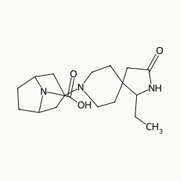 CCC1NC(=O)CC12CCN(C1CC3CCC(C1)N3C(=O)O)CC2